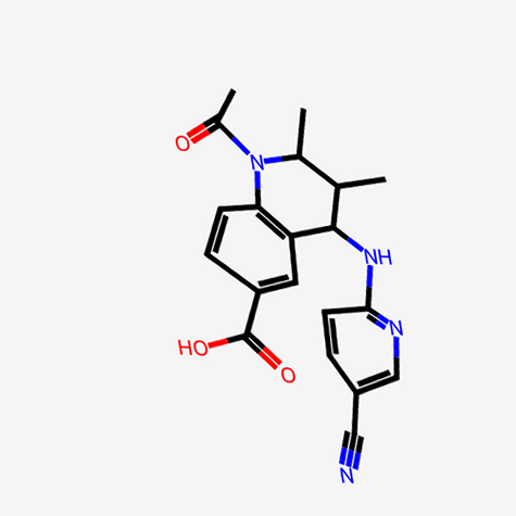 CC(=O)N1c2ccc(C(=O)O)cc2C(Nc2ccc(C#N)cn2)C(C)C1C